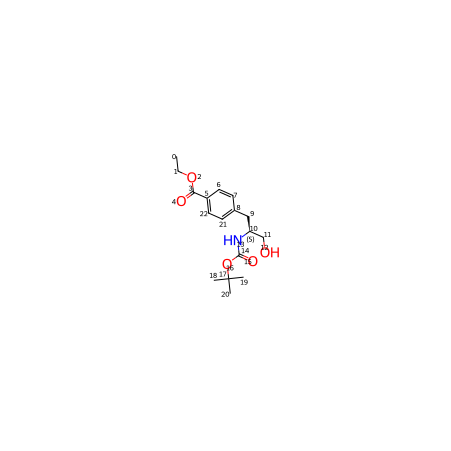 CCOC(=O)c1ccc(C[C@@H](CO)NC(=O)OC(C)(C)C)cc1